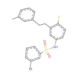 CCc1cccc(S(=O)(=O)Nc2ccc(F)c(CCc3cccc(C)c3)c2)c1